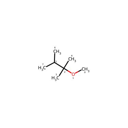 COC(C)(C)C(C)C